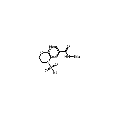 CCS(=O)(=O)N1CCOc2ncc(C(=O)NC(C)(C)C)cc21